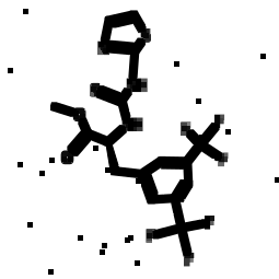 COC(=O)[C@H](Cc1cc(C(F)(F)F)cc(C(F)(F)F)c1)NC(=S)Nc1nccs1